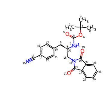 CC(C)(C)OC(=O)N[C@H](Cc1ccc(C#N)cc1)CN1C(=O)c2ccccc2C1=O